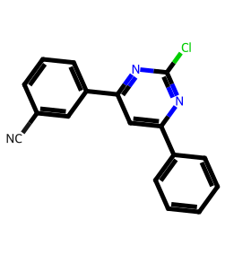 N#Cc1cccc(-c2cc(-c3ccccc3)nc(Cl)n2)c1